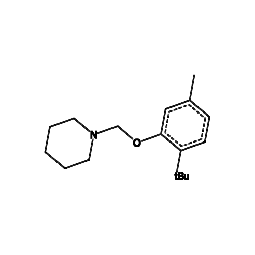 Cc1ccc(C(C)(C)C)c(OCN2CCCCC2)c1